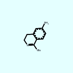 CC(C)(C)C1=NCCc2cc(N)ccc21